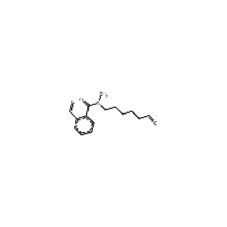 CN(CCCCCC=O)C(=O)c1ccccc1C=O